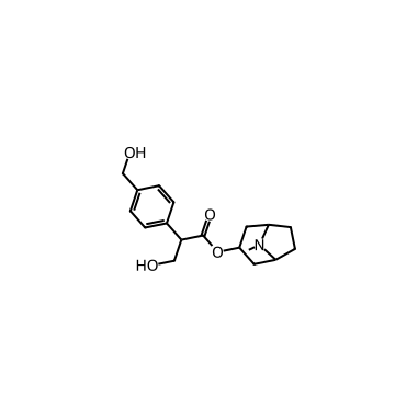 CN1C2CCC1CC(OC(=O)C(CO)c1ccc(CO)cc1)C2